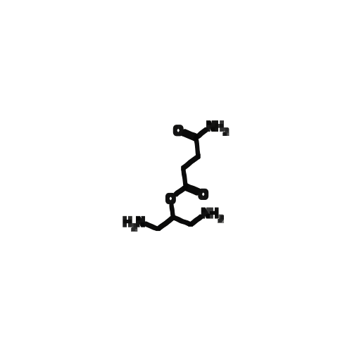 NCC(CN)OC(=O)CCC(N)=O